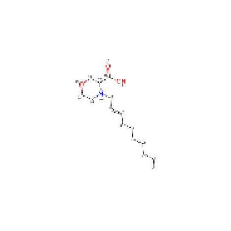 CCCCCCC/C=C/CN1CCOCC1C(=O)O